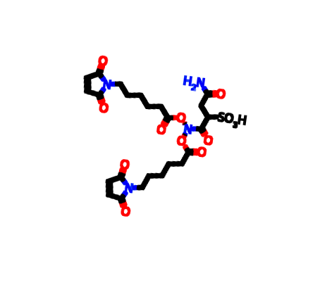 NC(=O)CC(C(=O)N(OC(=O)CCCCCN1C(=O)C=CC1=O)OC(=O)CCCCCN1C(=O)C=CC1=O)S(=O)(=O)O